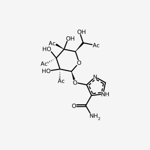 CC(=O)C(O)[C@H]1O[C@@H](Oc2nc[nH]c2C(N)=O)[C@](O)(C(C)=O)[C@](O)(C(C)=O)[C@@]1(O)C(C)=O